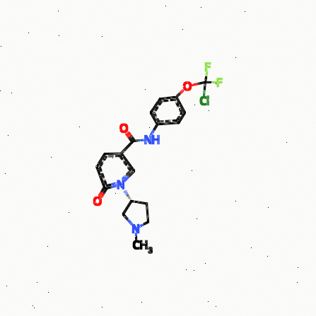 CN1CC[C@@H](n2cc(C(=O)Nc3ccc(OC(F)(F)Cl)cc3)ccc2=O)C1